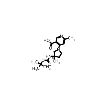 Cc1cc(N2CC[C@](C)(NC(=O)OC(C)(C)C)C2)c(C(=O)O)cn1